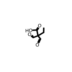 CCC(C=O)(C=O)C(=O)O